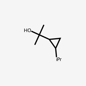 CC(C)C1CC1C(C)(C)O